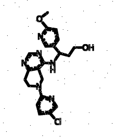 COc1ccc(C(CCO)Nc2ncnc3c2CN(c2ccc(Cl)cn2)CC3)cn1